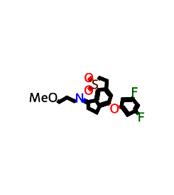 COCCC/N=C1\CCc2c(Oc3cc(F)cc(F)c3)cc3c(c21)S(=O)(=O)CC3